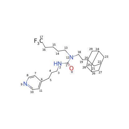 O=C(NCCCc1ccncc1)N(CCCCC(F)(F)F)CCC12CC3CC(CC(C3)C1)C2